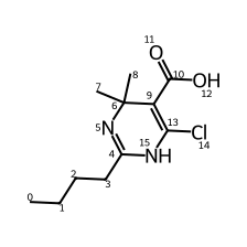 CCCCC1=NC(C)(C)C(C(=O)O)=C(Cl)N1